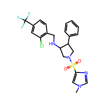 Cn1cnc(S(=O)(=O)N2CC(NCc3ccc(C(F)(F)F)cc3Cl)C(c3ccccc3)C2)c1